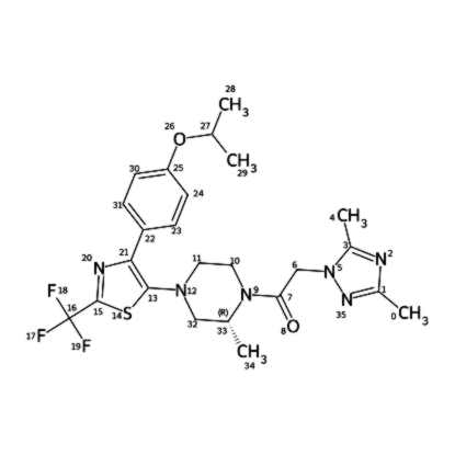 Cc1nc(C)n(CC(=O)N2CCN(c3sc(C(F)(F)F)nc3-c3ccc(OC(C)C)cc3)C[C@H]2C)n1